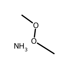 COOC.N